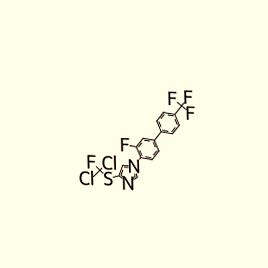 Fc1cc(-c2ccc(C(F)(F)F)cc2)ccc1-n1cnc(SC(F)(Cl)Cl)c1